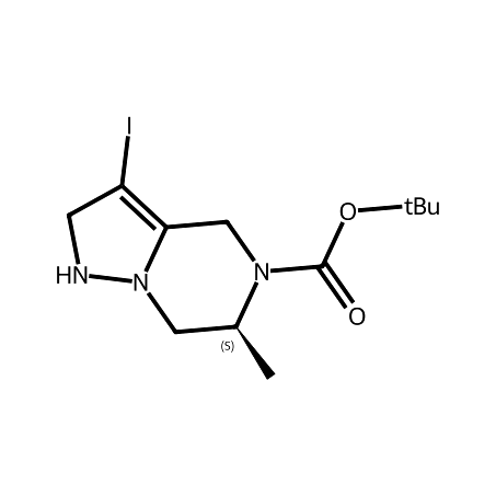 C[C@H]1CN2NCC(I)=C2CN1C(=O)OC(C)(C)C